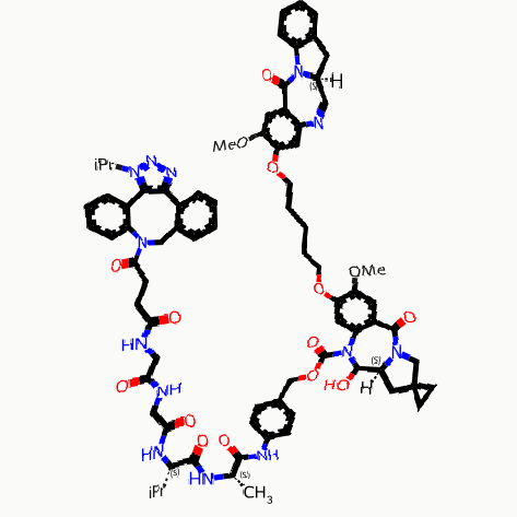 COc1cc2c(cc1OCCCCCOc1cc3c(cc1OC)C(=O)N1CC4(CC4)C[C@H]1C(O)N3C(=O)OCc1ccc(NC(=O)[C@H](C)NC(=O)[C@@H](NC(=O)CNC(=O)CNC(=O)CCC(=O)N3Cc4ccccc4-c4nnn(C(C)C)c4-c4ccccc43)C(C)C)cc1)N=C[C@@H]1Cc3ccccc3N1C2=O